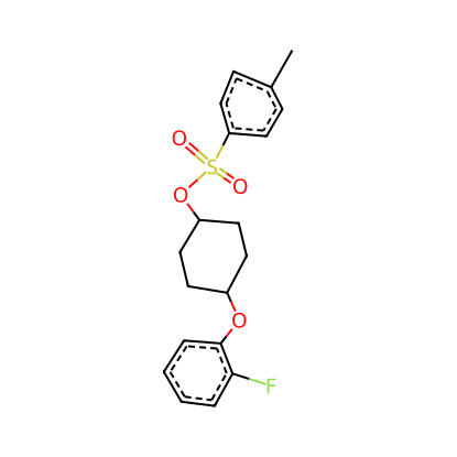 Cc1ccc(S(=O)(=O)OC2CCC(Oc3ccccc3F)CC2)cc1